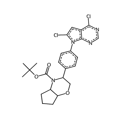 CC(C)(C)OC(=O)N1C(c2ccc(-n3c(Cl)cc4c(Cl)ncnc43)cc2)COC2CCCC21